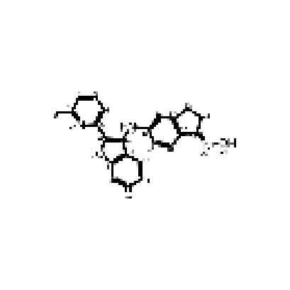 Cc1cccc(-c2oc3cnccc3c2Nc2ccc3c(c2)CCC3=NO)n1